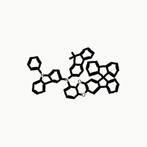 CC1(C)c2ccccc2-c2ccc(N(C3=CC=CC4Oc5cc6c(cc5OC34)C3(c4ccccc4-c4ccccc43)c3ccccc3-6)c3ccc4c(c3)c3ccccc3n4-c3ccccc3)cc21